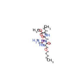 CCCCCOCC(NC(=O)CN)C(=O)NCC(=O)NC(CCC)C(=O)OC